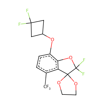 FC1(F)CC(Oc2ccc(C(F)(F)F)c3c2OC(F)(F)C32OCCO2)C1